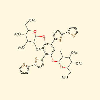 CC(=O)OCC1O[C@@H](Oc2cc(-c3ccc(-c4cccs4)s3)c(O[C@@H]3OC(COC(C)=O)[C@@H](OC(C)=O)C(OC(C)=O)C3OC(C)=O)cc2-c2ccc(-c3cccs3)s2)C(C)C(OC(C)=O)[C@@H]1OC(C)=O